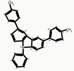 Cc1ccc(-c2ccc3c(c2)c2cc(-c4ccc(C)cc4)ccc2n3-c2cc[c]cc2)cc1